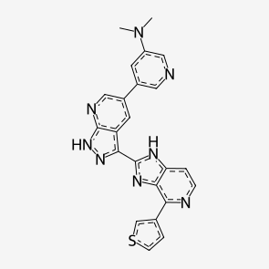 CN(C)c1cncc(-c2cnc3[nH]nc(-c4nc5c(-c6ccsc6)nccc5[nH]4)c3c2)c1